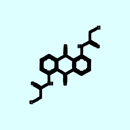 O=C(CCl)Nc1cccc2c1C(=O)c1cccc(NC(=O)CCl)c1C2=O